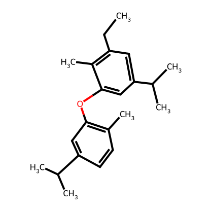 CCc1cc(C(C)C)cc(Oc2cc(C(C)C)ccc2C)c1C